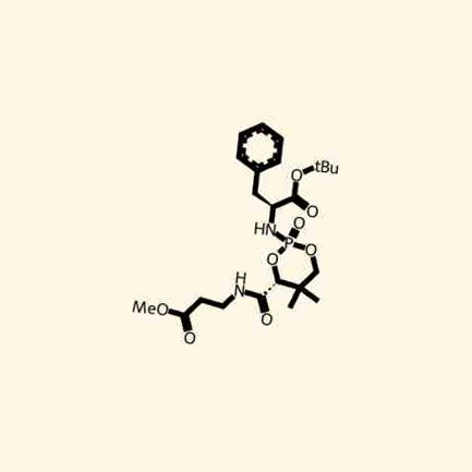 COC(=O)CCNC(=O)[C@@H]1OP(=O)(N[C@@H](Cc2ccccc2)C(=O)OC(C)(C)C)OCC1(C)C